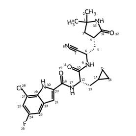 CC1(C)C[C@@H](C[C@@H](C#N)NC(=O)[C@H](CC2CC2)NC(=O)c2cc3cc(F)cc(Cl)c3[nH]2)C(=O)N1